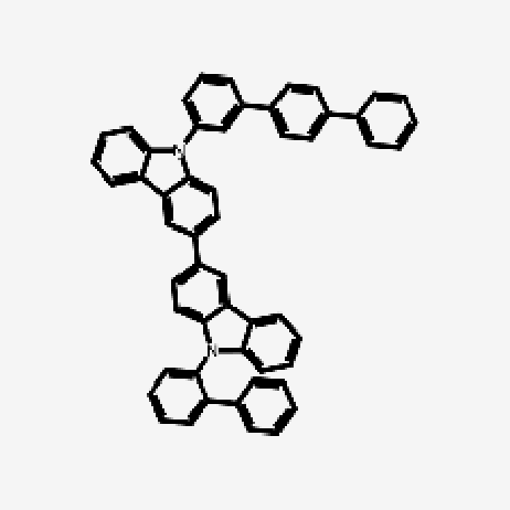 c1ccc(-c2ccc(-c3cccc(-n4c5ccccc5c5cc(-c6ccc7c(c6)c6ccccc6n7-c6ccccc6-c6ccccc6)ccc54)c3)cc2)cc1